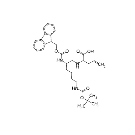 C=CCC(NCC(CCCCNC(=O)OC(C)(C)C)NC(=O)OCC1c2ccccc2-c2ccccc21)C(=O)O